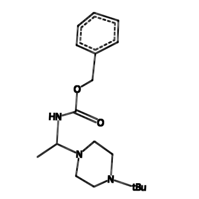 CC(NC(=O)OCc1ccccc1)N1CCN(C(C)(C)C)CC1